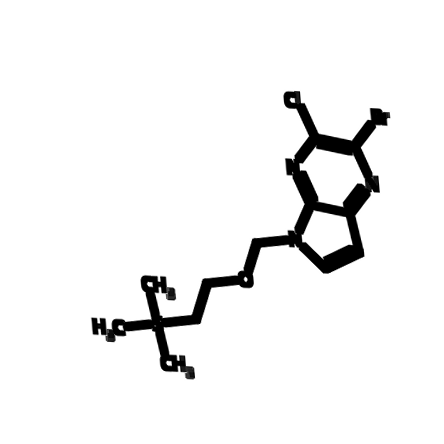 CS(C)(C)CCOCn1ccc2nc(Br)c(Cl)nc21